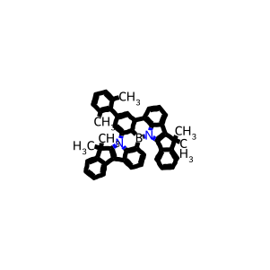 Cc1cccc(C)c1C1=CC2c3cccc4c5c(n(c34)B3c4cccc6c7c(n(c46)C(=C1)C32)C(C)(C)c1ccccc1-7)-c1ccccc1C5(C)C